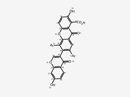 CC(=O)c1cc2c(=O)c3c(C(=O)O)c(O)ccc3oc2c(C(C)=O)c1-c1coc2cc(O)ccc2c1=O